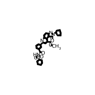 COC(=O)c1cc(-c2cccc(C(=O)NS(=O)(=O)c3ccccc3)c2)nc2ccc3nn(-c4ccccc4)nc3c12